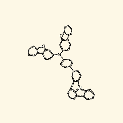 c1ccc2c(c1)oc1cc(N(c3ccc(-c4ccc5c(c4)c4cccc6c7ccccc7n5c64)cc3)c3ccc4c(c3)oc3ccccc34)ccc12